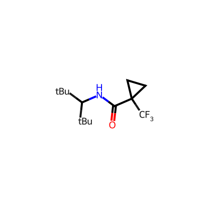 CC(C)(C)C(NC(=O)C1(C(F)(F)F)CC1)C(C)(C)C